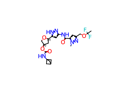 Cn1nc(COC(C)(F)F)cc1C(=O)Nc1cc([C@H]2C[C@@H](OC(=O)NC34CC(C3)C4)CO2)[nH]n1